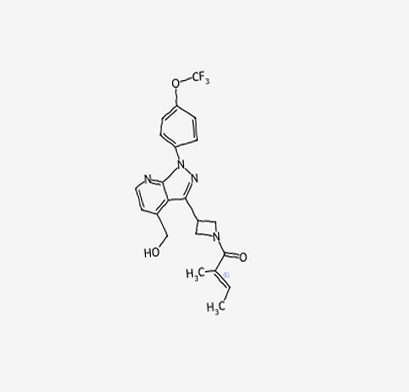 C/C=C(\C)C(=O)N1CC(c2nn(-c3ccc(OC(F)(F)F)cc3)c3nccc(CO)c23)C1